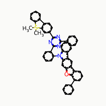 CS1(C)c2ccccc2-c2ccc(-c3nc(-c4ccccc4)nc(-c4ccccc4-n4c5ccccc5c5cc6c(cc54)oc4c(-c5ccccc5)cccc46)n3)cc21